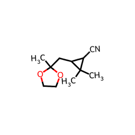 CC1(CC2C(C#N)C2(C)C)OCCO1